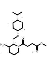 COC(=O)CCC(=O)N1CCCC(N)[C@@H]1CO[C@H]1CC[C@@H](C(C)C)CC1